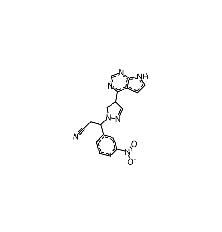 N#CCC(c1cccc([N+](=O)[O-])c1)N1CC(c2ncnc3[nH]ccc23)C=N1